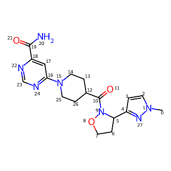 Cn1ccc(C2CCON2C(=O)C2CCN(c3cc(C(N)=O)ncn3)CC2)n1